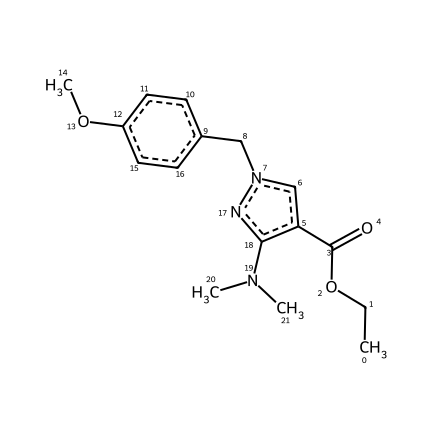 CCOC(=O)c1cn(Cc2ccc(OC)cc2)nc1N(C)C